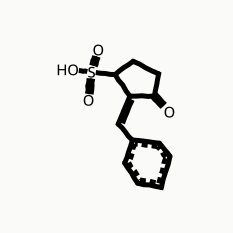 O=C1CCC(S(=O)(=O)O)C1=Cc1ccccc1